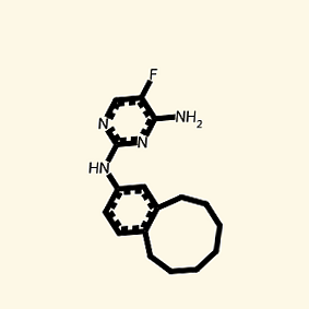 Nc1nc(Nc2ccc3c(c2)CCCCCCC3)ncc1F